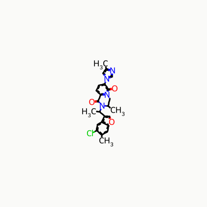 Cc1cn(-c2ccc3n(c2=O)CC(C)N(C(C)c2coc4cc(C)c(Cl)cc24)C3=O)cn1